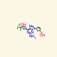 Nc1nc(N2CC(O)(C(F)(F)F)C2)c2ncn([C@H]3C=C[C@@H](CO)C3)c2n1